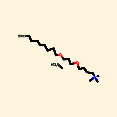 CCCCCCCCCCCCCCCCCCOCCCOCCCC[N+](C)(C)C.CS(=O)(=O)O